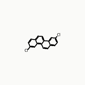 Clc1ccc2ccc3c4cc(Cl)ccc4ccc3c2c1